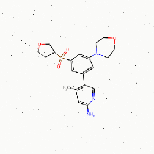 Nc1cc(C(F)(F)F)c(-c2cc(N3CCOCC3)cc(S(=O)(=O)C3CCOC3)c2)cn1